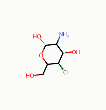 NC1[C@@H](O)[C@@H](Cl)C(CO)O[C@@H]1O